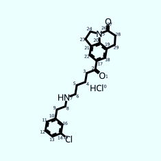 Cl.O=C(CCCCNCCc1cccc(Cl)c1)c1cc2c3c(c1)CCN3C(=O)CC2